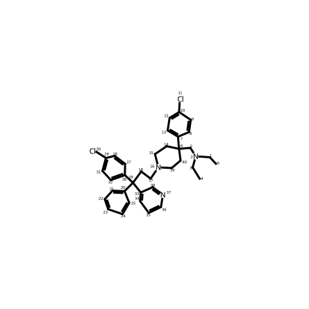 CCN(CC)CC1(c2ccc(Cl)cc2)CCN(CCC(c2ccccc2)(c2ccc(Cl)cc2)c2cccnc2)CC1